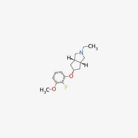 CCN1C[C@H]2C[C@H](Oc3cccc(OC)c3F)C[C@H]2C1